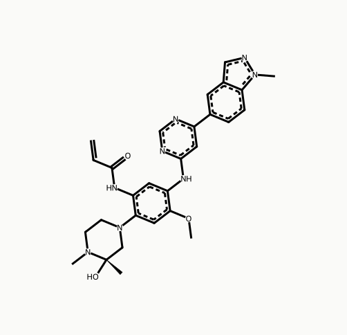 C=CC(=O)Nc1cc(Nc2cc(-c3ccc4c(cnn4C)c3)ncn2)c(OC)cc1N1CCN(C)[C@@](C)(O)C1